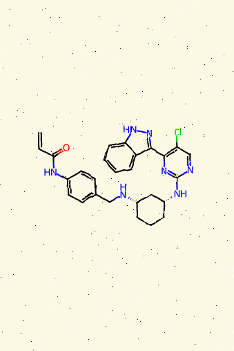 C=CC(=O)Nc1ccc(CN[C@H]2CCC[C@@H](Nc3ncc(Cl)c(-c4n[nH]c5ccccc45)n3)C2)cc1